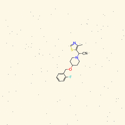 Cc1ncsc1C(C#N)N1CCC(OCc2ccccc2F)CC1